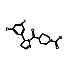 CCC(=O)N1CCC(C(=O)N2N=CCC2c2cc(F)cc(F)c2)CC1